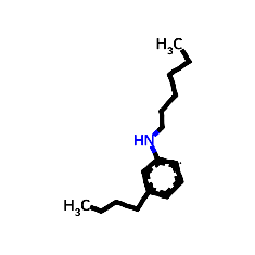 CCCCCCNc1[c]ccc(CCCC)c1